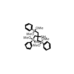 CO[Si](CC([SiH3])(C[Si](OC)(OC)c1ccccc1)C[Si](OC)(OC)c1ccccc1)(OC)c1ccccc1